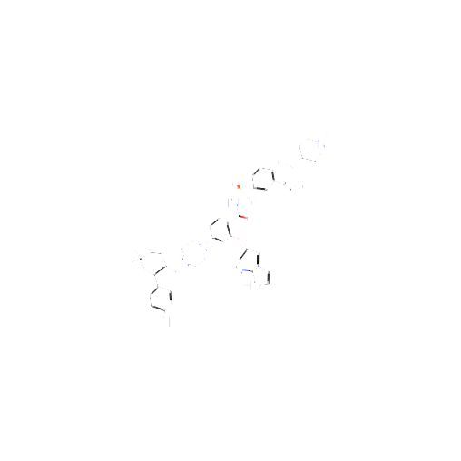 CN1CCC(COc2ccc(S(=O)(=O)NC(=O)c3ccc(N4CCN(CC5=C(c6ccc(Cl)cc6)CC(C)(C)CC5)CC4)cc3Oc3cnc4[nH]ccc4c3)cc2[N+](=O)[O-])CC1